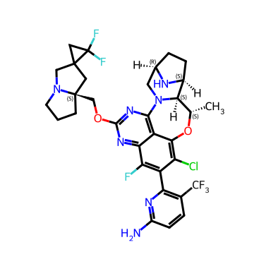 C[C@@H]1Oc2c(Cl)c(-c3nc(N)ccc3C(F)(F)F)c(F)c3nc(OC[C@@]45CCCN4CC4(CC4(F)F)C5)nc(c23)N2C[C@H]3CC[C@H](N3)[C@@H]12